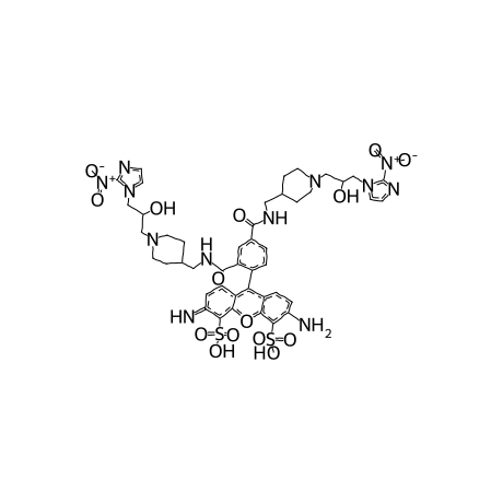 N=c1ccc2c(-c3ccc(C(=O)NCC4CCN(CC(O)Cn5ccnc5[N+](=O)[O-])CC4)cc3C(=O)NCC3CCN(CC(O)Cn4ccnc4[N+](=O)[O-])CC3)c3ccc(N)c(S(=O)(=O)O)c3oc-2c1S(=O)(=O)O